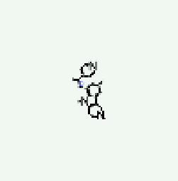 C/C(=C/c1cc(C)cc2c3c(n(C)c12)CCN(C)C3)c1ccncc1